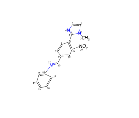 Cn1ccnc1-c1ccc(C=Nc2ccccc2)cc1[N+](=O)[O-]